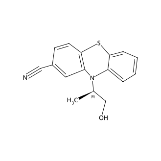 C[C@H](CO)N1c2ccccc2Sc2ccc(C#N)cc21